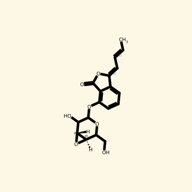 C/C=C/C=C1\OC(=O)c2c(OC3OC(CO)[C@H]4O[C@@H]4C3O)cccc21